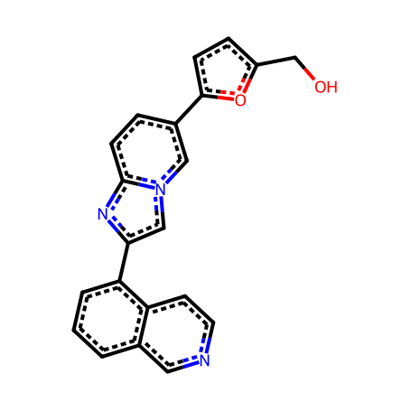 OCc1ccc(-c2ccc3nc(-c4cccc5cnccc45)cn3c2)o1